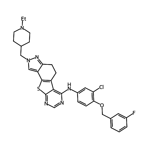 CCN1CCC(Cn2cc3c(n2)CCc2c-3sc3ncnc(Nc4ccc(OCc5cccc(F)c5)c(Cl)c4)c23)CC1